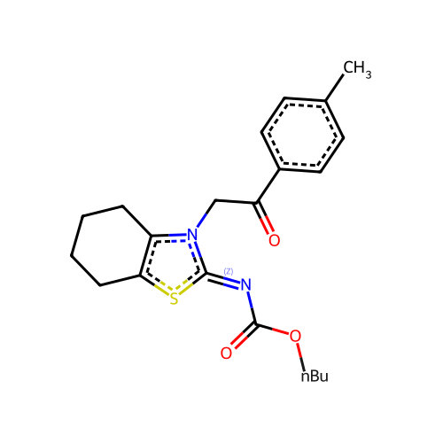 CCCCOC(=O)/N=c1\sc2c(n1CC(=O)c1ccc(C)cc1)CCCC2